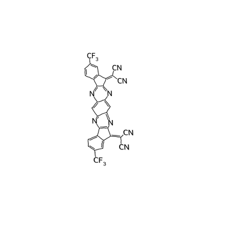 N#CC(C#N)=C1c2cc(C(F)(F)F)ccc2-c2nc3cc4nc5c(nc4cc3nc21)C(=C(C#N)C#N)c1cc(C(F)(F)F)ccc1-5